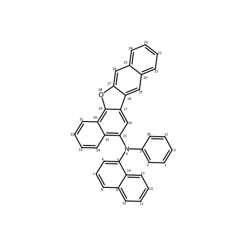 c1ccc(N(c2cccc3ccccc23)c2cc3c4cc5ccccc5cc4oc3c3ccccc23)cc1